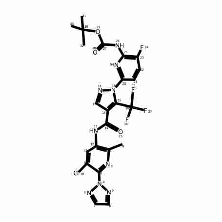 Cc1nc(-n2nccn2)c(Cl)cc1NC(=O)c1cnn(-c2ccc(F)c(NC(=O)OC(C)(C)C)n2)c1C(F)(F)F